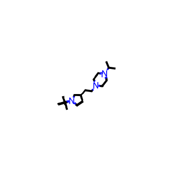 CC(C)N1CCN(CCC2CCN(C(C)(C)C)C2)CC1